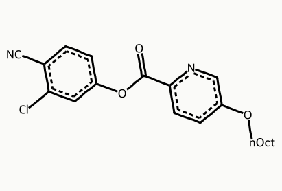 CCCCCCCCOc1ccc(C(=O)Oc2ccc(C#N)c(Cl)c2)nc1